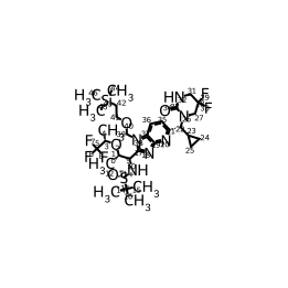 C[C@@H](O[C@H](C)C(F)(F)F)[C@H](N[S@+]([O-])C(C)(C)C)c1nc2nc([C@@H](C3CC3)N3CC(F)(F)CNC3=O)ccc2n1COCC[Si](C)(C)C